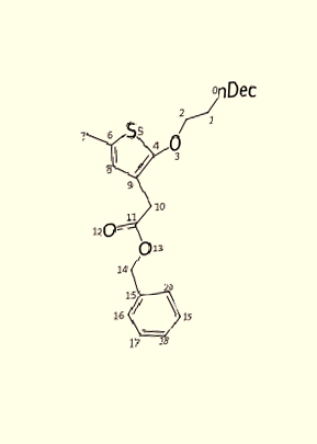 CCCCCCCCCCCCOc1sc(C)cc1CC(=O)OCc1ccccc1